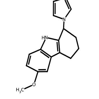 COc1ccc2[nH]c3c(c2c1)CCCC3n1cccc1